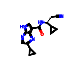 N#CC[C@@H](NC(=O)c1c[nH]c2ncc(C3CC3)nc12)C1CC1